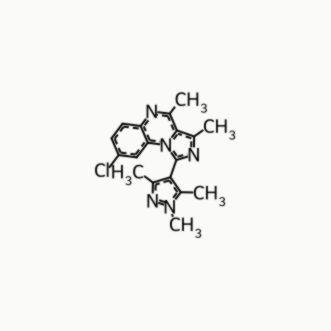 Cc1nn(C)c(C)c1-c1nc(C)c2c(C)nc3ccc(Cl)cc3n12